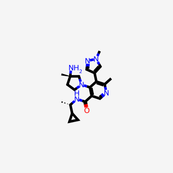 Cc1ncc(C(=O)N[C@@H](C)C2CC2)c(N2CC[C@](C)(N)C2)c1-c1cnn(C)c1